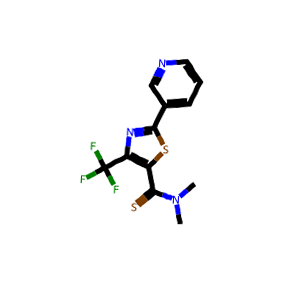 CN(C)C(=S)c1sc(-c2cccnc2)nc1C(F)(F)F